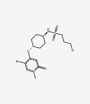 Cn1cc(Br)c(O[C@H]2CC[C@H](NS(=O)(=O)CCCCl)CC2)cc1=O